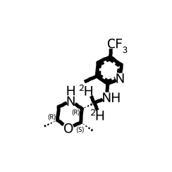 [2H]C([2H])(Nc1ncc(C(F)(F)F)cc1C)[C@H]1NC[C@@H](C)O[C@H]1C